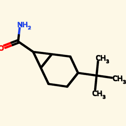 CC(C)(C)C1CCC2C(C1)C2C(N)=O